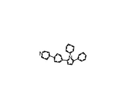 c1ccc(-c2ccc(-c3ccc(-c4ccncc4)cc3)n2-c2ccccc2)cc1